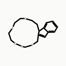 [C]1=C2CCCCCCCCCCCCCC2c2ccccc21